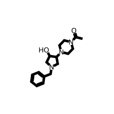 CC(=O)N1CCN(C2CN(Cc3ccccc3)CC2O)CC1